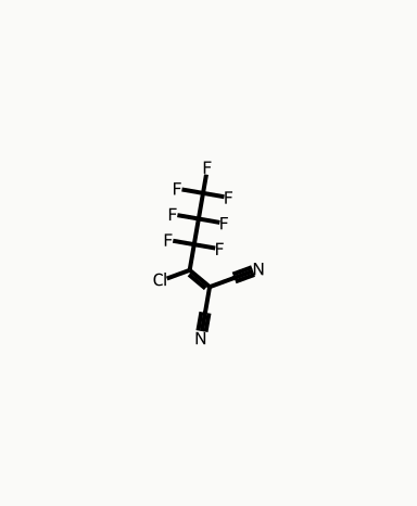 N#CC(C#N)=C(Cl)C(F)(F)C(F)(F)C(F)(F)F